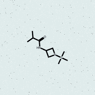 CC(C)C(=O)NC1CN(S(C)(C)C)C1